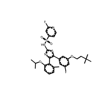 Cc1cccc(OC(C)C)c1-c1nc(NS(=O)(=O)c2ccnc(F)c2)sc1-c1cc(F)cc(OCCC(C)(C)C)c1